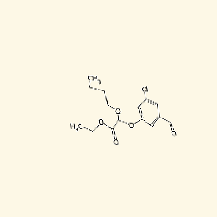 CCCCOC(Oc1cc(Cl)cc(C=O)c1)C(=O)OCC